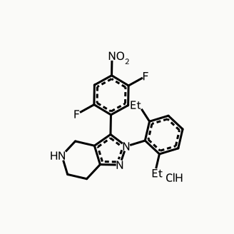 CCc1cccc(CC)c1-n1nc2c(c1-c1cc(F)c([N+](=O)[O-])cc1F)CNCC2.Cl